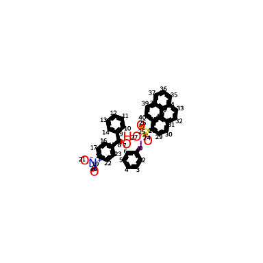 Ic1ccccc1.O=C(c1ccccc1)c1ccc([N+](=O)[O-])cc1.O=S(=O)(O)c1ccc2ccc3cccc4ccc1c2c34